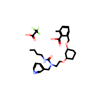 CCCCNC(=O)N(CCO[C@@H]1CCC[C@H](OCc2cccc(C)c2C(=O)O)C1)Cc1cccnc1.O=C(O)C(F)(F)F